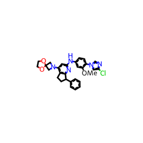 COc1cc(Nc2cc(N3CC4(C3)OCCO4)c3c(n2)C(c2ccccc2)CC3)ccc1-n1cnc(Cl)c1